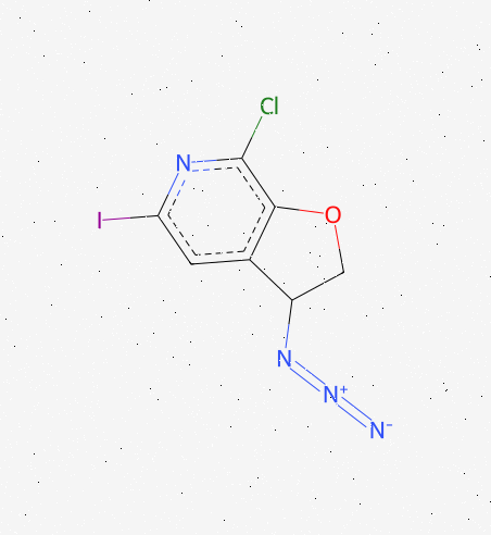 [N-]=[N+]=NC1COc2c1cc(I)nc2Cl